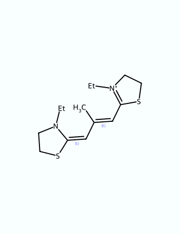 CCN1CCS/C1=C/C(C)=C/C1=[N+](CC)CCS1